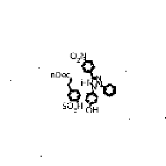 CCCCCCCCCCCCc1ccc(S(=O)(=O)O)cc1.O=[N+]([O-])c1ccc(C2=NN(c3ccccc3)N(c3ccc(O)cc3)N2)cc1